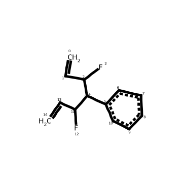 C=CC(F)[C](c1ccccc1)C(F)C=C